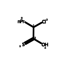 CCCC(Cl)C(O)=S